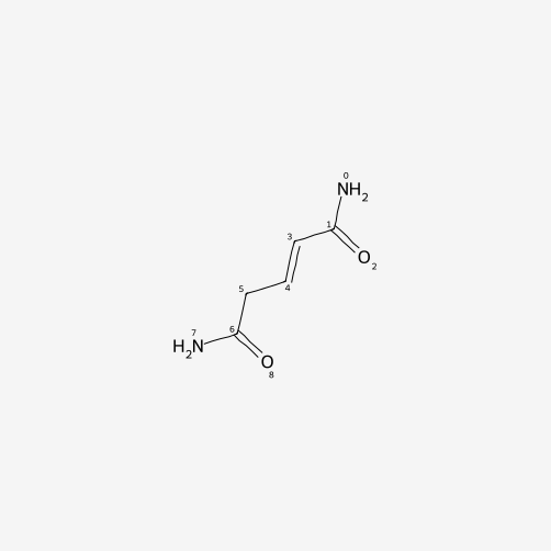 NC(=O)C=CCC(N)=O